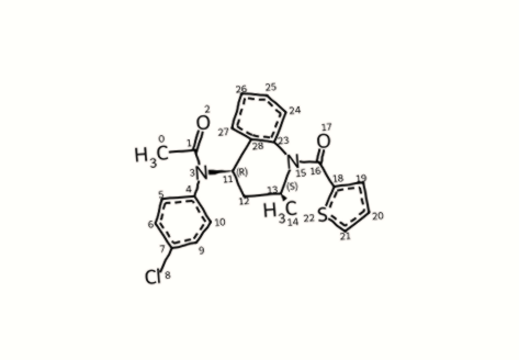 CC(=O)N(c1ccc(Cl)cc1)[C@@H]1C[C@H](C)N(C(=O)c2cccs2)c2ccccc21